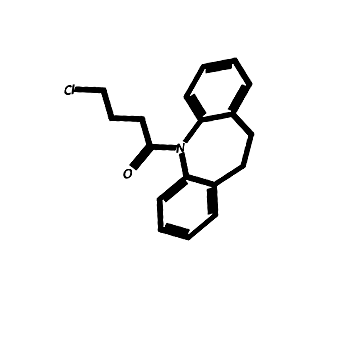 O=C(CCCCl)N1c2ccccc2CCc2ccccc21